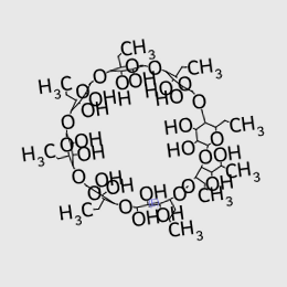 CCCC1OOC(CC)C(C(O)C(C)O)OC2OC(CC)C(OC3OC(CC)C(OC4OC(CC)C(OC5OC(CC)C(OC6OC(CC)C(OC7OC(CC)C(OC(O)/C(O)=C/1O)C(O)C7O)C(O)C6O)C(O)C5O)C(O)C4O)C(O)C3O)C(O)C2O